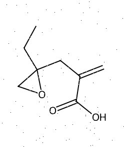 C=C(CC1(CC)CO1)C(=O)O